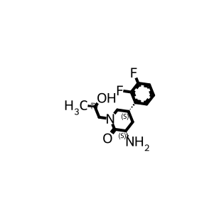 C[C@@H](O)CN1C[C@H](c2cccc(F)c2F)C[C@H](N)C1=O